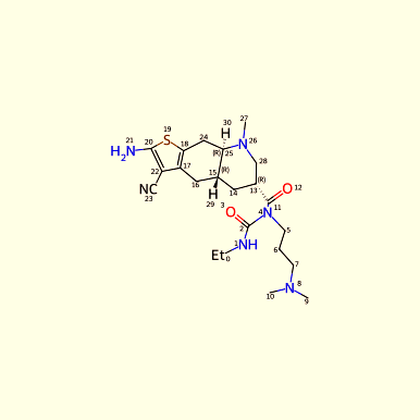 CCNC(=O)N(CCCN(C)C)C(=O)[C@@H]1C[C@@H]2Cc3c(sc(N)c3C#N)C[C@H]2N(C)C1